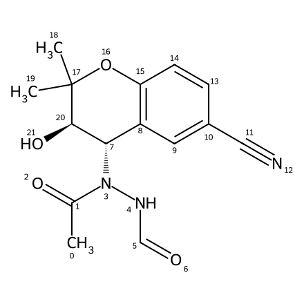 CC(=O)N(NC=O)[C@H]1c2cc(C#N)ccc2OC(C)(C)[C@@H]1O